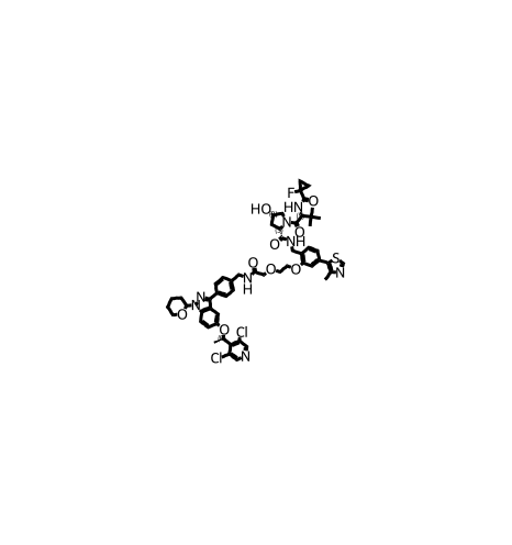 Cc1ncsc1-c1ccc(CNC(=O)[C@@H]2C[C@@H](O)CN2C(=O)[C@@H](NC(=O)C2(F)CC2)C(C)(C)C)c(OCCOCC(=O)NCc2ccc(-c3nn(C4CCCCO4)c4ccc(O[C@H](C)c5c(Cl)cncc5Cl)cc34)cc2)c1